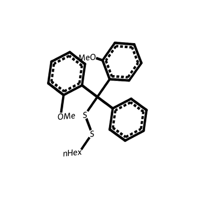 CCCCCCSSC(c1ccccc1)(c1ccccc1OC)c1ccccc1OC